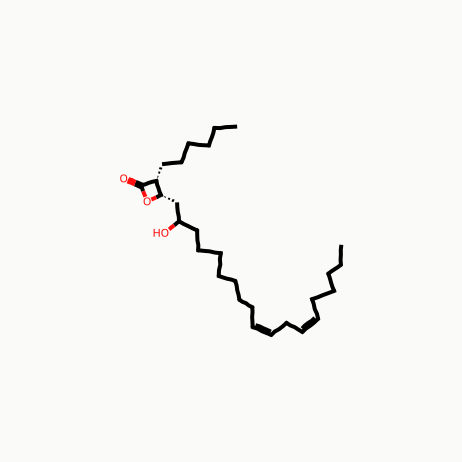 CCCCC/C=C\C/C=C\CCCCCCCC(O)C[C@@H]1OC(=O)[C@@H]1CCCCCC